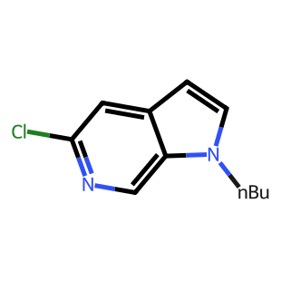 CCCCn1ccc2cc(Cl)ncc21